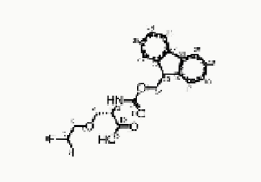 O=C(N[C@@H](COCC(F)F)C(=O)O)OCC1c2ccccc2-c2ccccc21